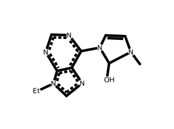 CCn1cnc2c(N3C=CN(C)C3O)ncnc21